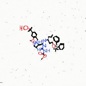 CCC[C@@H](CCO[Si](c1ccccc1)(c1ccccc1)C(C)(C)C)Nc1nc(NC(=O)OC)nc2cnn(Cc3ccc(C(C)(C)O)cc3OC)c12